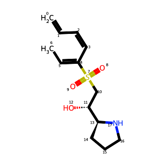 C=C/C=C\C(=C/C)S(=O)(=O)C[C@@H](O)[C@@H]1CCCN1